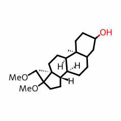 COCC1(OC)CC[C@H]2[C@@H]3CCC4CC(O)CC[C@]4(C)[C@@H]3CC[C@@]21C